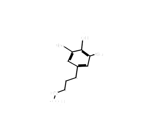 CC(C)(C)c1cc(CCCNC(=O)O)cc(C(C)(C)C)c1O